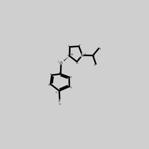 CC(C)N1CC[C@@H](Oc2ccc(F)cc2)C1